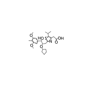 COc1cc(C(O)C(Cc2nc(CC(=O)O)c(C(C)C)s2)OC2CCCC2)cc(OC)c1C